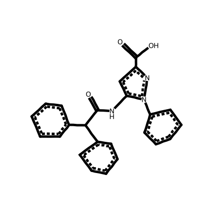 O=C(O)c1cc(NC(=O)C(c2ccccc2)c2ccccc2)n(-c2ccccc2)n1